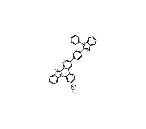 [C-]#[N+]c1ccc2c3cc(-c4ccc(-c5nc6ccccc6n5-c5ccccc5)cc4)ccc3c3nc4ccccc4n3c2c1